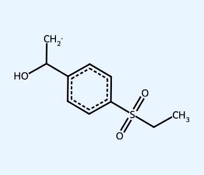 [CH2]C(O)c1ccc(S(=O)(=O)CC)cc1